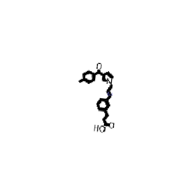 Cc1ccc(C(=O)c2ccn(C/C=C/c3cccc(CCC(=O)O)c3)c2)cc1